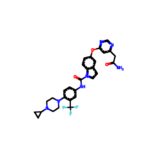 NC(=O)Cc1cc(Oc2ccc3c(ccn3C(=O)Nc3ccc(N4CCN(C5CC5)CC4)c(C(F)(F)F)c3)c2)ncn1